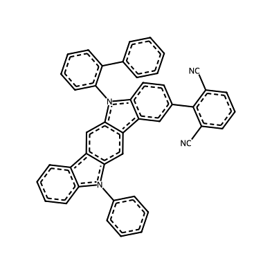 N#Cc1cccc(C#N)c1-c1ccc2c(c1)c1cc3c(cc1n2-c1ccccc1-c1ccccc1)c1ccccc1n3-c1ccccc1